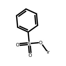 O=S(=O)([O][Ir])c1ccccc1